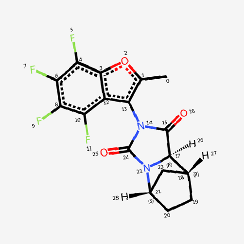 Cc1oc2c(F)c(F)c(F)c(F)c2c1N1C(=O)[C@H]2[C@@H]3CC[C@@H](C3)N2C1=O